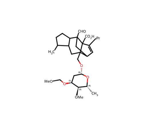 COCO[C@H]1C[C@H](OCC23CC4C(C)CCC4C4(C=O)CC2C=C(C(C)C)C43C(=O)O)O[C@H](C)[C@H]1OC